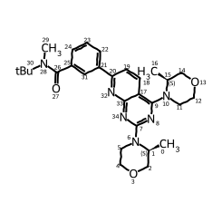 C[C@H]1COCCN1c1nc(N2CCOC[C@@H]2C)c2ccc(-c3cccc(C(=O)N(C)C(C)(C)C)c3)nc2n1